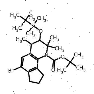 CC1c2cc(Br)c3c(c2N(C(=O)OC(C)(C)C)C(C)(C)C1O[Si](C)(C)C(C)(C)C)CCC3